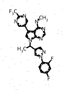 C=Nc1ncnc2c1c(-c1cnc(C(F)(F)F)nc1)cn2C(C)c1cnn(-c2ccc(F)cc2F)c1